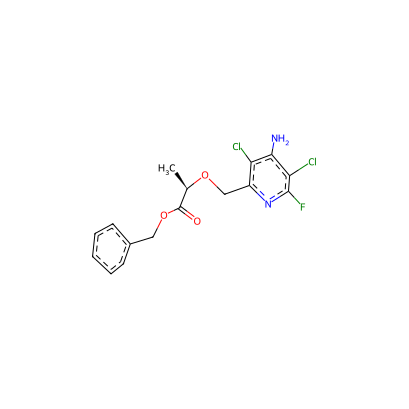 C[C@@H](OCc1nc(F)c(Cl)c(N)c1Cl)C(=O)OCc1ccccc1